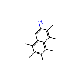 Cc1c(C)c(C)c2c(C)c(C)c(N)cc2c1C